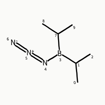 CC(C)B(N=[N+]=[N-])C(C)C